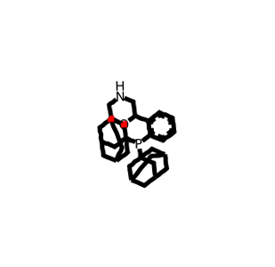 c1ccc(P(C23CC4CC(CC(C4)C2)C3)C23CC4CC(CC(C4)C2)C3)c(C2CNCCO2)c1